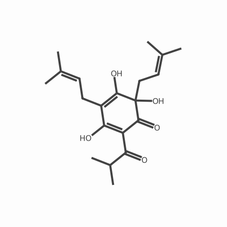 CC(C)=CCC1=C(O)C(O)(CC=C(C)C)C(=O)C(C(=O)C(C)C)=C1O